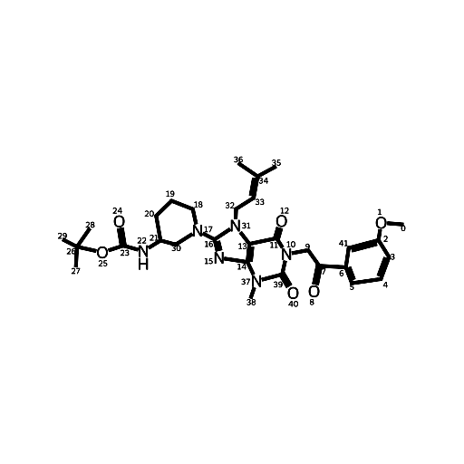 COc1cccc(C(=O)Cn2c(=O)c3c(nc(N4CCCC(NC(=O)OC(C)(C)C)C4)n3CC=C(C)C)n(C)c2=O)c1